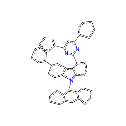 c1ccc(-c2ccc3c(c2)c2c(-c4nc(-c5ccccc5)cc(-c5ccccc5)n4)cccc2n3-c2c3ccccc3cc3ccccc23)cc1